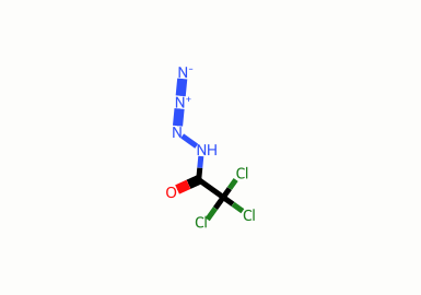 [N-]=[N+]=NNC(=O)C(Cl)(Cl)Cl